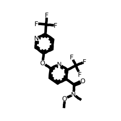 CON(C)C(=O)c1ccc(Oc2ccc(C(F)(F)F)nc2)nc1C(F)(F)F